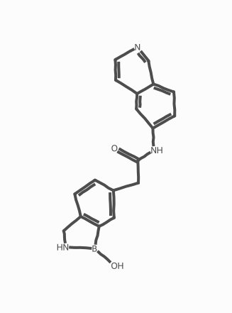 O=C(Cc1ccc2c(c1)B(O)NC2)Nc1ccc2cnccc2c1